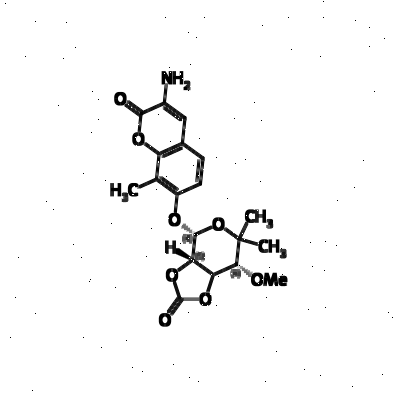 CO[C@@H]1C2OC(=O)O[C@@H]2[C@H](Oc2ccc3cc(N)c(=O)oc3c2C)OC1(C)C